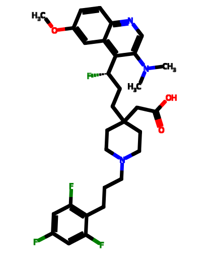 COc1ccc2ncc(N(C)C)c([C@@H](F)CCC3(CC(=O)O)CCN(CCCc4c(F)cc(F)cc4F)CC3)c2c1